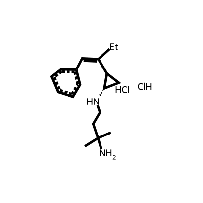 CCC(=Cc1ccccc1)C1C[C@@H]1NCCC(C)(C)N.Cl.Cl